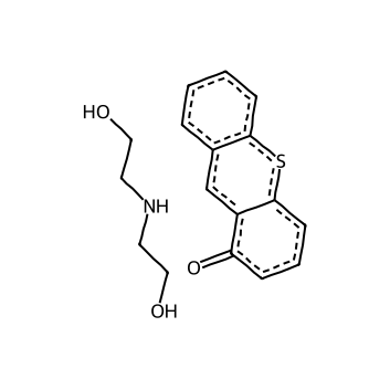 O=c1cccc2sc3ccccc3cc1-2.OCCNCCO